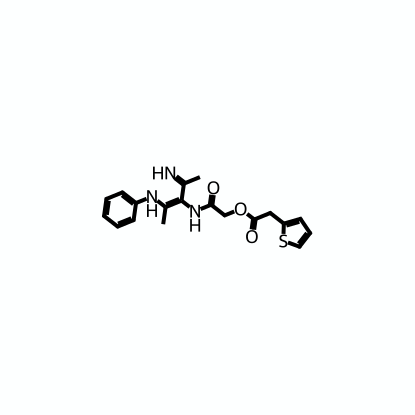 CC(=N)/C(NC(=O)COC(=O)Cc1cccs1)=C(/C)Nc1ccccc1